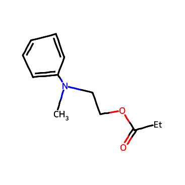 [CH2]CC(=O)OCCN(C)c1ccccc1